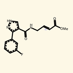 COC(=O)/C=C/CNC(=O)c1c[nH]nc1-c1cccc(F)c1